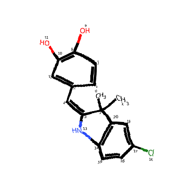 CC1(C)/C(=C\c2ccc(O)c(O)c2)Nc2ccc(Cl)cc21